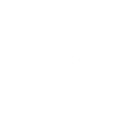 CC(C)(C)OC(=O)[N+]1(C(=O)OCc2ccccc2)CC(F)(F)C[C@H]1C(=O)O